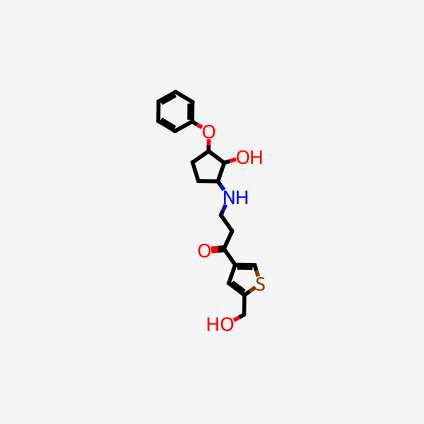 O=C(CCNC1CCC(Oc2ccccc2)C1O)c1csc(CO)c1